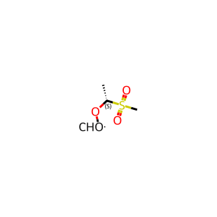 C[C@@H](O[C]=O)S(C)(=O)=O